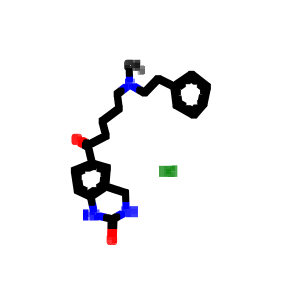 CN(CCCCC(=O)c1ccc2c(c1)CNC(=O)N2)CCc1ccccc1.Cl